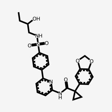 CCC(O)CNS(=O)(=O)c1ccc(-c2cccc(NC(=O)C3(c4ccc5c(c4)OCO5)CC3)n2)cc1